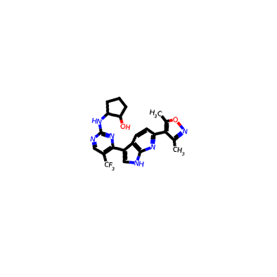 Cc1noc(C)c1-c1ccc2c(-c3nc(NC4CCCC4O)ncc3C(F)(F)F)c[nH]c2n1